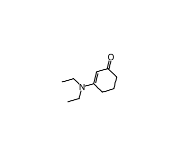 CCN(CC)C1=CC(=O)CCC1